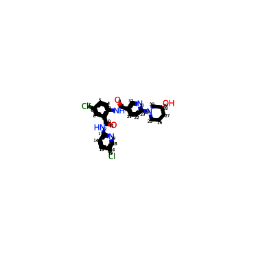 O=C(Nc1ccc(Cl)cc1C(=O)Nc1ccc(Cl)cn1)c1ccc(N2CCCC(O)C2)nc1